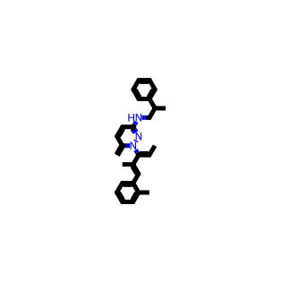 C=C1C=CC(NCC(C)c2ccccc2)=NN1C(=C\C)/C(C)=C/c1ccccc1C